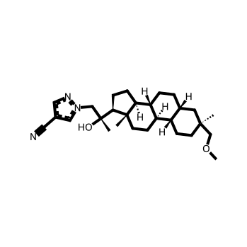 COC[C@@]1(C)CC[C@H]2[C@H](CC[C@@H]3[C@@H]2CC[C@@]2(C)[C@H]3CC[C@@H]2[C@](C)(O)Cn2cc(C#N)cn2)C1